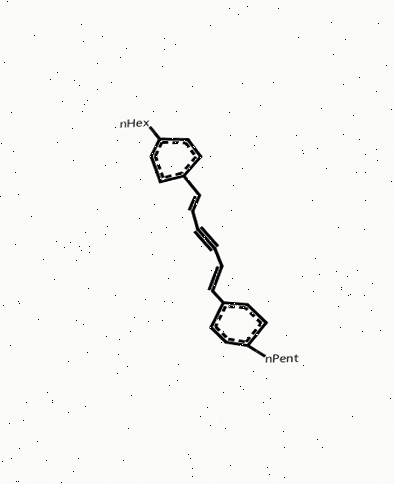 CCCCCCc1ccc(C=CC#CC=Cc2ccc(CCCCC)cc2)cc1